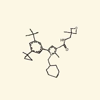 Cc1c(C(=O)NCC2(C)COC2)cc(-c2cc(C(C)(C)C)cc(C3(C)CC3)c2)n1CC1CCCCC1